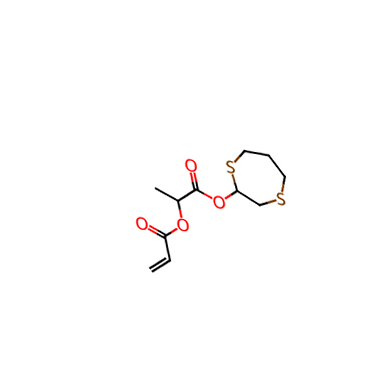 C=CC(=O)OC(C)C(=O)OC1CSCCCS1